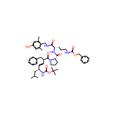 Cc1cc(O)cc(C)c1CNC(=O)[C@H](CCCNC(=O)OCc1ccccc1)NC(=O)[C@@H]1CCCN1C(=O)C(/C=C/[C@H](CC(C)C)NC(=O)OC(C)(C)C)Cc1ccccc1